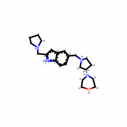 c1cc2[nH]c(CN3CCCC3)cc2cc1CN1CC[C@H](N2CCOCC2)C1